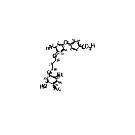 CCCc1cc(Oc2ccc(C(=O)O)cc2)ccc1OCCCOc1cc(O)c(C(C)=O)cc1CC